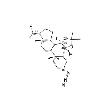 C/C(F)=C1/CCC2C3C(CC[C@]12C)[C@@]1(C)CC[C@@H](N=[N+]=[N-])CC1[C@H]1OC(C)(C)O[C@H]31